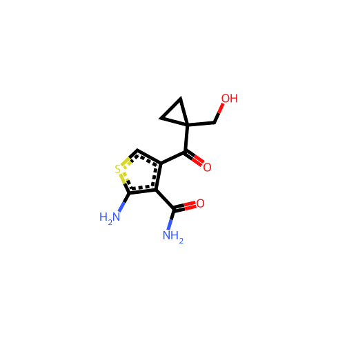 NC(=O)c1c(C(=O)C2(CO)CC2)csc1N